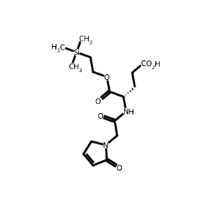 C[Si](C)(C)CCOC(=O)[C@H](CCC(=O)O)NC(=O)CN1CC=CC1=O